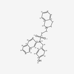 O=S(=O)(CCN1CCc2ccccc2C1)N(Cc1ccc(O)cc1)c1ccc2ccccc2c1